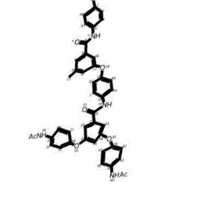 COc1ccc(NC(=O)c2cc(C)cc(Oc3ccc(NC(=O)c4cc(Oc5ccc(NC(C)=O)cc5)cc(Oc5ccc(NC(C)=O)cc5)c4)cc3)c2)cc1